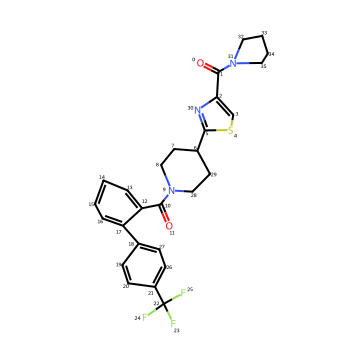 O=C(c1csc(C2CCN(C(=O)c3ccccc3-c3ccc(C(F)(F)F)cc3)CC2)n1)N1CCCC1